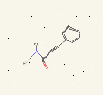 CCCN(CC)C(=O)C#Cc1ccccc1